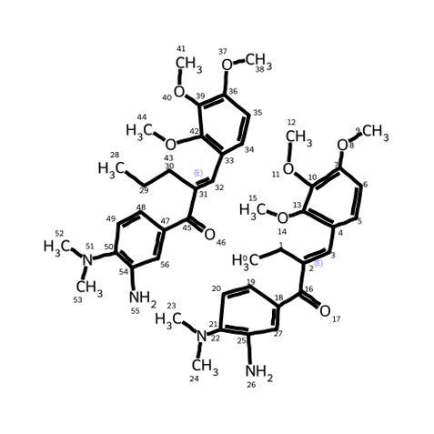 CC/C(=C\c1ccc(OC)c(OC)c1OC)C(=O)c1ccc(N(C)C)c(N)c1.CCC/C(=C\c1ccc(OC)c(OC)c1OC)C(=O)c1ccc(N(C)C)c(N)c1